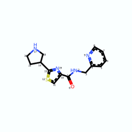 O=C(NCc1ccccn1)c1csc(C2CCNC2)n1